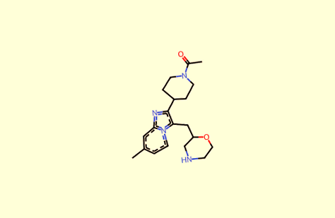 CC(=O)N1CCC(c2nc3cc(C)ccn3c2CC2CNCCO2)CC1